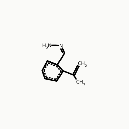 C=C(C)c1ccccc1/C=N\N